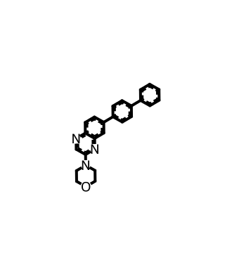 c1ccc(-c2ccc(-c3ccc4ncc(N5CCOCC5)nc4c3)cc2)cc1